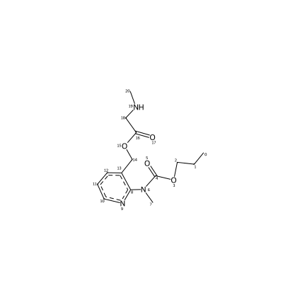 CCCOC(=O)N(C)c1ncccc1COC(=O)CNC